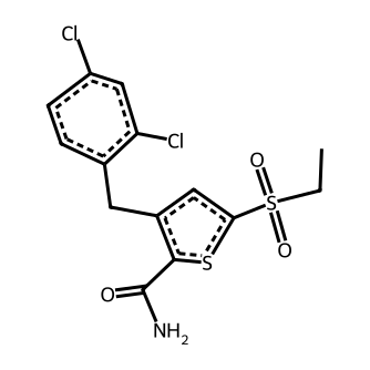 CCS(=O)(=O)c1cc(Cc2ccc(Cl)cc2Cl)c(C(N)=O)s1